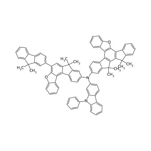 CC1(C)c2ccccc2-c2ccc(-c3cc4c(c5c3oc3ccccc35)-c3ccc(N(c5ccc6c(c5)C(C)(C)c5c7c(c8oc9ccccc9c8c5-6)-c5ccccc5C7(C)C)c5ccc6c7ccccc7n(-c7ccccc7)c6c5)cc3C4(C)C)cc21